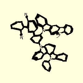 N#Cc1ccccc1-c1cc(-c2ccc(-n3c4ccccc4c4c3ccc3c5ccccc5n(-c5ccccc5)c34)cc2-n2c3ccccc3c3cc4c(cc32)sc2ccccc24)ccc1C#N